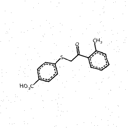 Cc1ccccc1C(=O)CSc1ccc(C(=O)O)cc1